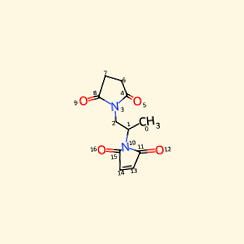 CC(CN1C(=O)CCC1=O)N1C(=O)C=CC1=O